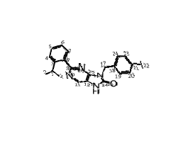 CC(C)c1ccccc1-c1ncc2[nH]c(=O)n(Cc3ccc(I)cc3)c2n1